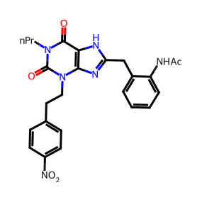 CCCn1c(=O)c2[nH]c(Cc3ccccc3NC(C)=O)nc2n(CCc2ccc([N+](=O)[O-])cc2)c1=O